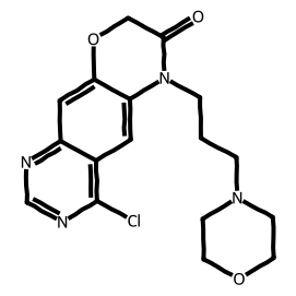 O=C1COc2cc3ncnc(Cl)c3cc2N1CCCN1CCOCC1